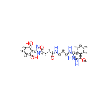 O=C(CCc1nc(-c2c(O)cccc2O)no1)NCCCNC1NNC(=O)c2ccccc21